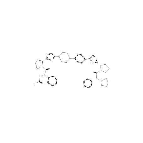 COC(=O)N[C@@H](C(=O)N1CCC[C@H]1c1ncc(C2CCC(c3ccc(-c4cnc([C@@H]5CCCN5C(=O)[C@@H](c5ccccc5)N5CCCC5)[nH]4)cc3)CC2)[nH]1)c1ccccc1